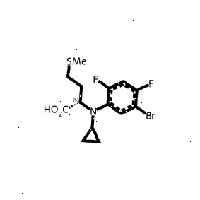 CSCC[C@@H](C(=O)O)N(c1cc(Br)c(F)cc1F)C1CC1